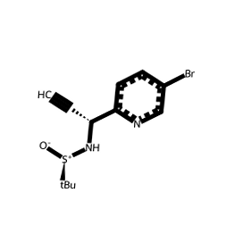 C#C[C@@H](N[S@+]([O-])C(C)(C)C)c1ccc(Br)cn1